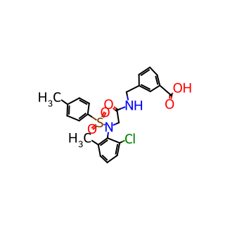 Cc1ccc(S(=O)(=O)N(CC(=O)NCc2cccc(C(=O)O)c2)c2c(C)cccc2Cl)cc1